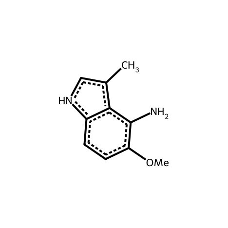 COc1ccc2[nH]cc(C)c2c1N